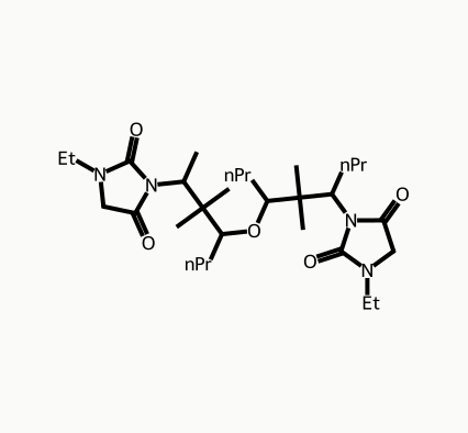 CCCC(OC(CCC)C(C)(C)C(CCC)N1C(=O)CN(CC)C1=O)C(C)(C)C(C)N1C(=O)CN(CC)C1=O